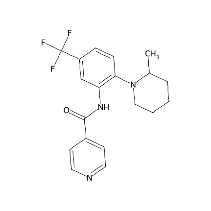 CC1CCCCN1c1ccc(C(F)(F)F)cc1NC(=O)c1ccncc1